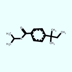 CCC(C)(C)c1ccc(C(=O)SC(C)C)cc1